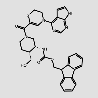 O=C(N[C@H]1CN(C(=O)C2=CN(c3ncnc4[nH]ccc34)CCS2)CC[C@H]1CO)OCC1c2ccccc2-c2ccccc21